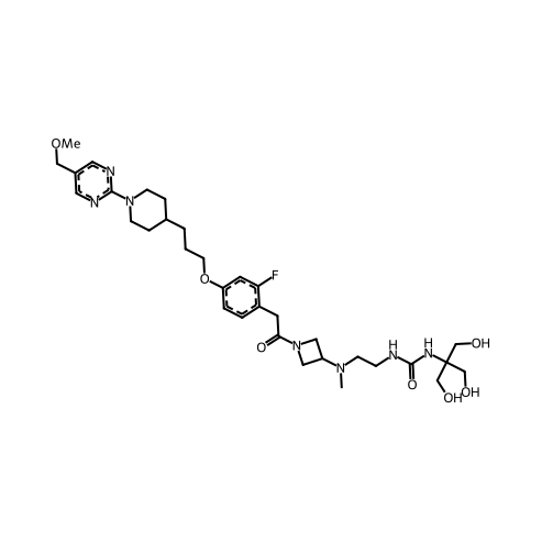 COCc1cnc(N2CCC(CCCOc3ccc(CC(=O)N4CC(N(C)CCNC(=O)NC(CO)(CO)CO)C4)c(F)c3)CC2)nc1